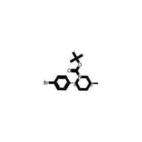 C[C@H]1CC[C@H](c2ccc(Br)cc2)N(C(=O)OC(C)(C)C)C1